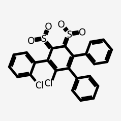 O=S(=O)=C1C(c2ccccc2)=C(c2ccccc2)C(Cl)=C(c2ccccc2Cl)C1=S(=O)=O